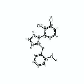 COc1ccccc1Cn1nnnc1-c1cccc(Cl)c1Cl